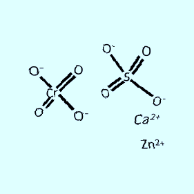 O=S(=O)([O-])[O-].[Ca+2].[O]=[Cr](=[O])([O-])[O-].[Zn+2]